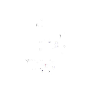 COC(=O)[C@@H](NC(=O)[C@@H](NC(=O)CC[C@H](O)[C@H](Cc1ccccc1)NC(=O)[C@H](C)NC(=O)OCc1ccccc1)C(C)C)C(C)C